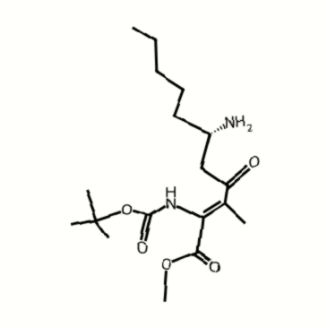 CCCCC[C@H](N)CC(=O)C(C)=C(NC(=O)OC(C)(C)C)C(=O)OC